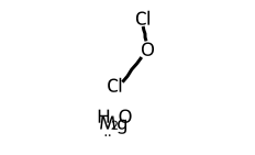 ClOCl.O.[Mg]